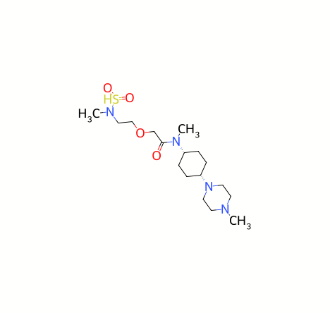 CN1CCN([C@H]2CC[C@@H](N(C)C(=O)COCCN(C)[SH](=O)=O)CC2)CC1